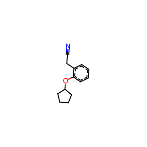 N#CCc1ccccc1OC1CCCC1